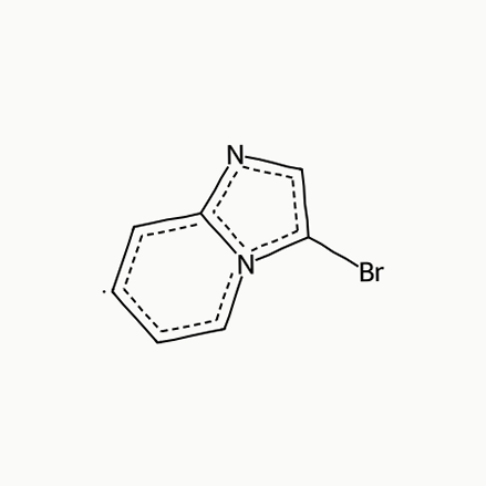 Brc1cnc2c[c]ccn12